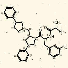 C[C@H](N)C(=O)N[C@@H](Cc1cccc(Cl)c1)C(=O)N1C[C@@H](c2ccccc2)C[C@H]1CN1CCC(c2ccccc2)C1